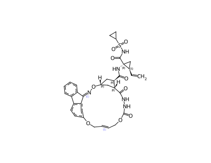 C=C[C@@H]1C[C@]1(NC(=O)[C@@H]1C[C@@H]2C[C@H]1C(=O)NNC(=O)OC/C=C/COc1ccc3c(c1)/C(=N/O2)c1ccccc1-3)C(=O)NS(=O)(=O)C1CC1